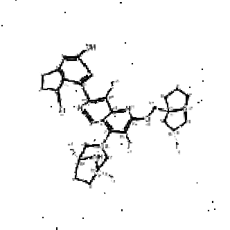 CCC1CCc2cc(O)cc(-c3ncc4c(N5C[C@H]6CC[C@@H](C5)N6)c(F)c(OC[C@@]56CCCN5C[C@H](F)C6)nc4c3F)c21